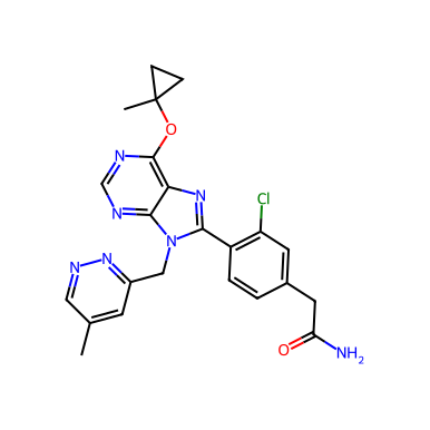 Cc1cnnc(Cn2c(-c3ccc(CC(N)=O)cc3Cl)nc3c(OC4(C)CC4)ncnc32)c1